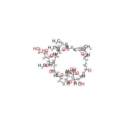 C=C1C[C@@H]2CCC(=O)C[C@H]3O[C@H]4[C@@H](O)[C@H]5O[C@H](CC[C@@H]5O[C@H]4[C@H]3O)CC(=O)C[C@@H]3[C@@H](OC)[C@@H](C[C@H](O)CO)O[C@H]3C[C@H]3O[C@@H](CC[C@@H]1O2)C[C@@H](C)C3=C